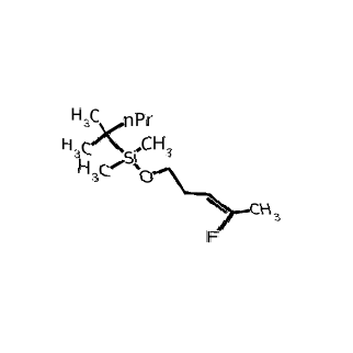 CCCC(C)(C)[Si](C)(C)OCC/C=C(/C)F